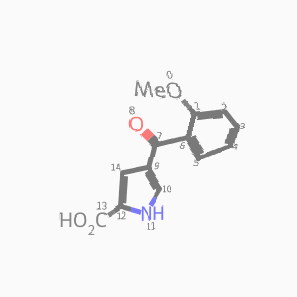 COc1ccccc1C(=O)c1c[nH]c(C(=O)O)c1